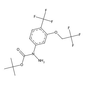 CC(C)(C)OC(=O)N(N)c1ccc(C(F)(F)F)c(OCC(F)(F)F)c1